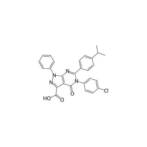 CC(C)c1ccc(-c2nc3c(c(C(=O)O)nn3-c3ccccc3)c(=O)n2-c2ccc(Cl)cc2)cc1